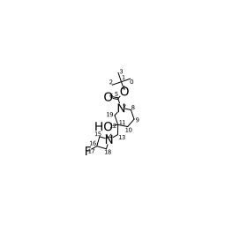 CC(C)(C)OC(=O)N1CCCC(O)(CN2CC(F)C2)C1